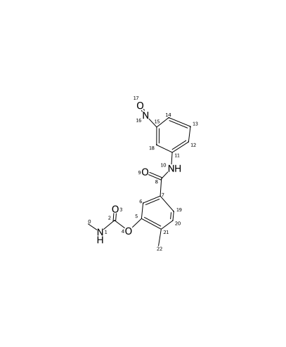 CNC(=O)Oc1cc(C(=O)Nc2cccc(N=O)c2)ccc1C